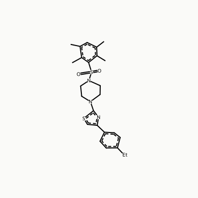 CCc1ccc(-c2csc(N3CCN(S(=O)(=O)c4c(C)c(C)cc(C)c4C)CC3)n2)cc1